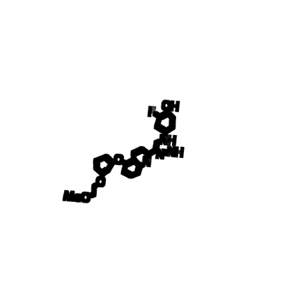 COCCOc1cccc(Oc2cccc3nc(/C(=C/Nc4ccc(O)c(F)c4)N=N)ccc23)c1